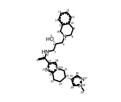 C=C(NC[C@H](O)CN1CCc2ccccc2C1)c1cn2c(n1)CC[C@@H](c1cnn(C)c1)C2